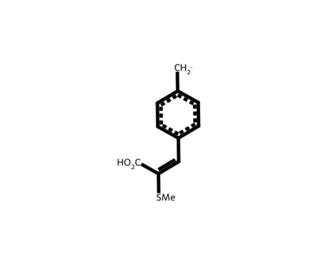 [CH2]c1ccc(C=C(SC)C(=O)O)cc1